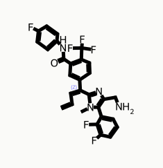 C=C/C=C(/c1ccc(C(F)(F)F)c(C(=O)Nc2ccc(F)cc2)c1)c1nc(CN)c(-c2cccc(F)c2F)n1C